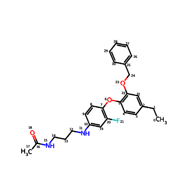 CCc1ccc(Oc2ccc(NCCCNC(C)=O)cc2F)c(OCc2ccccc2)c1